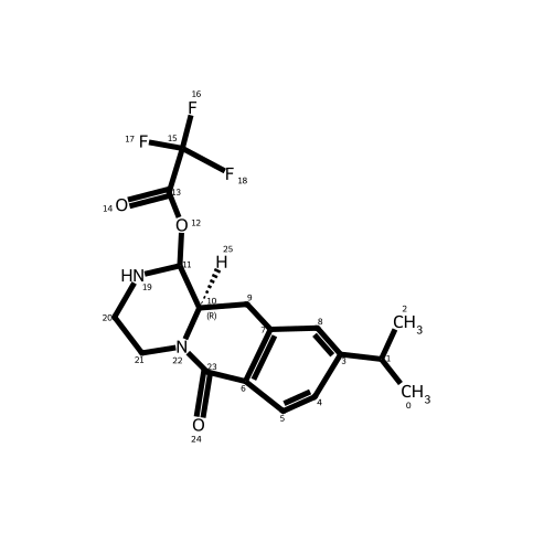 CC(C)c1ccc2c(c1)C[C@@H]1C(OC(=O)C(F)(F)F)NCCN1C2=O